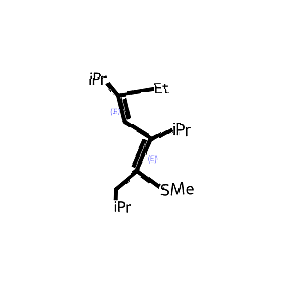 CC/C(=C\C(=C(/CC(C)C)SC)C(C)C)C(C)C